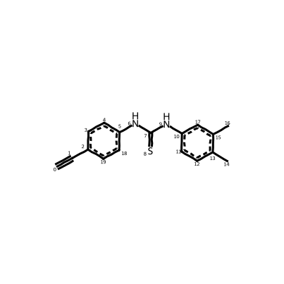 C#Cc1ccc(NC(=S)Nc2ccc(C)c(C)c2)cc1